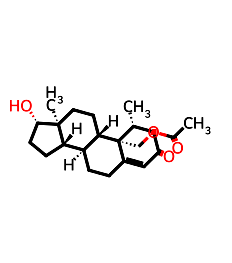 CC(=O)OC[C@@]12C(=CC(=O)C[C@H]1C)CC[C@H]1[C@@H]3CC[C@H](O)[C@@]3(C)CC[C@@H]12